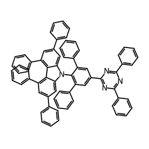 c1ccc(-c2cc(-c3ccccc3)c3c4c(-c5ccccc5)cc(-c5ccccc5)cc4n(-c4c(-c5ccccc5)cc(-c5nc(-c6ccccc6)nc(-c6ccccc6)n5)cc4-c4ccccc4)c3c2)cc1